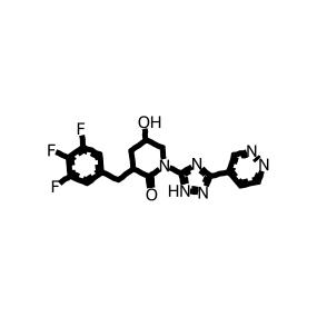 O=C1C(Cc2cc(F)c(F)c(F)c2)CC(O)CN1c1nc(-c2ccnnc2)n[nH]1